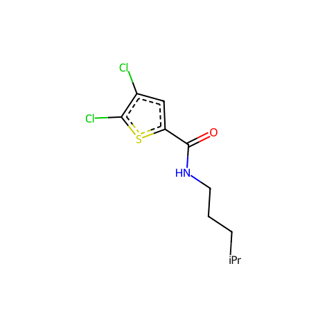 CC(C)CCCNC(=O)c1cc(Cl)c(Cl)s1